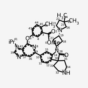 COC(=O)c1cc(Oc2nc(-c3ccc4c(c3)N([C@H]3C[C@@H](N5CCC(C)(C)C5)C3)C(=O)C43CCNCC3)cc3ncn(C(C)C)c23)ccc1C